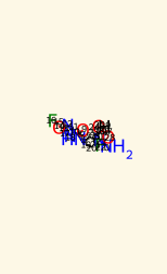 NC1=N[C@]2(c3cc(NC(=O)c4cnc(OCF)cn4)ccc3F)CCO[C@@H]2CO1